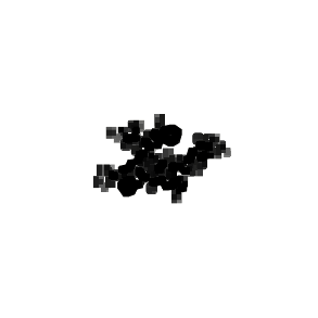 C[C@@H](NC(=O)[C@H](CS)NC(=O)CN1C(=O)NC(C)(C)C1=O)C(=O)N[C@@H](Cc1cnc[nH]1)C(=O)N[C@H](Cc1ccccc1)C(=O)N[C@@H](CCCNC(=N)N)C(=O)N[C@@H](Cc1c[nH]c2ccccc12)C(=O)N[C@@H](CS)C(N)=O